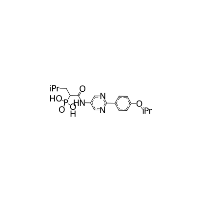 CC(C)CC(C(=O)Nc1cnc(-c2ccc(OC(C)C)cc2)nc1)P(=O)(O)O